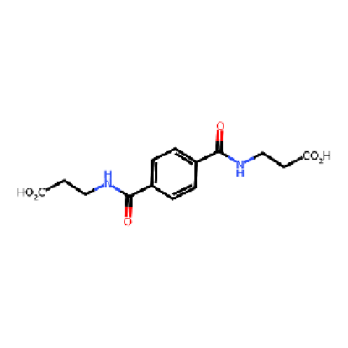 O=C(O)CCNC(=O)c1ccc(C(=O)NCCC(=O)O)cc1